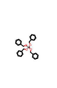 c1ccc(C[O][Sn]([O]Cc2ccccc2)([O]Cc2ccccc2)[O]Cc2ccccc2)cc1